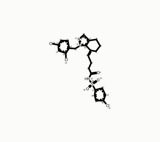 O=C(CC/C=C1\CCCc2cnn(Cc3ccc(Cl)cc3Cl)c21)NS(=O)(=O)c1ccc(Cl)cc1